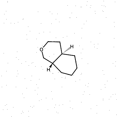 C1CC[C@@H]2COCC[C@H]2C1